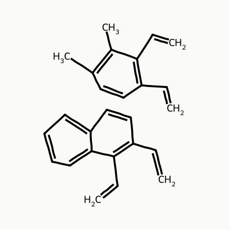 C=Cc1ccc(C)c(C)c1C=C.C=Cc1ccc2ccccc2c1C=C